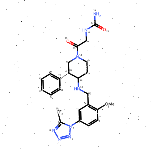 COc1ccc(-n2nnnc2C(F)(F)F)cc1CNC1CCN(C(=O)CNC(N)=O)C[C@H]1c1ccccc1